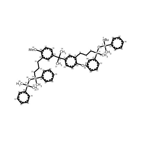 CCCC[Si](C)(O[Si](C)(CCCc1cc(C(C)(C)c2ccc(OC)c(CCC[Si](C)(O[Si](C)(C)c3ccccc3)c3ccccc3)c2)ccc1OC(C)=O)c1ccccc1)c1ccccc1